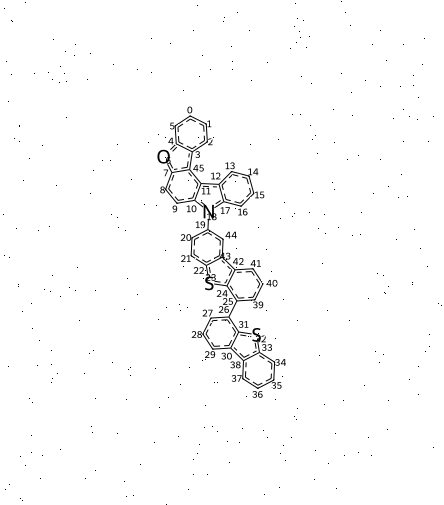 c1ccc2c(c1)oc1ccc3c(c4ccccc4n3-c3ccc4sc5c(-c6cccc7c6sc6ccccc67)cccc5c4c3)c12